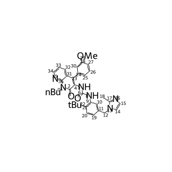 CCCCn1c(=O)c(NC(=O)Nc2cc(Cn3ccnc3C)ccc2C(C)(C)C)c(-c2cccc(OC)c2)c2cccnc21